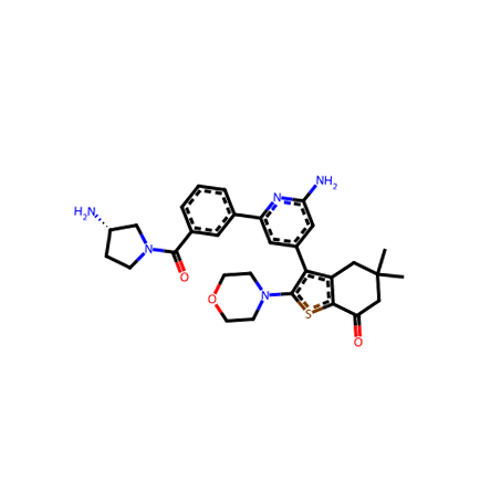 CC1(C)CC(=O)c2sc(N3CCOCC3)c(-c3cc(N)nc(-c4cccc(C(=O)N5CC[C@H](N)C5)c4)c3)c2C1